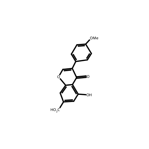 COc1ccc(-c2coc3cc(C(=O)O)cc(O)c3c2=O)cc1